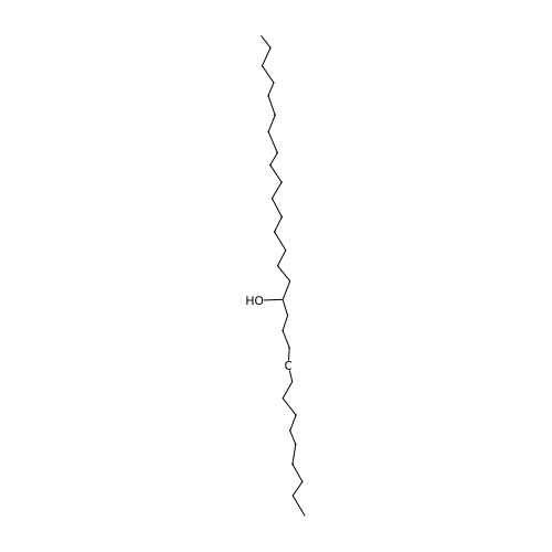 CCCCCCCCCCCCCCCCC(O)CCCCCCCCCCCCC